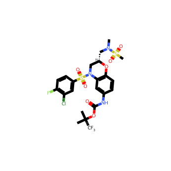 CN(C[C@H]1CN(S(=O)(=O)c2ccc(F)c(Cl)c2)c2cc(NC(=O)OC(C)(C)C(F)(F)F)ccc2O1)S(C)(=O)=O